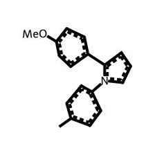 COc1ccc(-c2cccn2-c2ccc(C)cc2)cc1